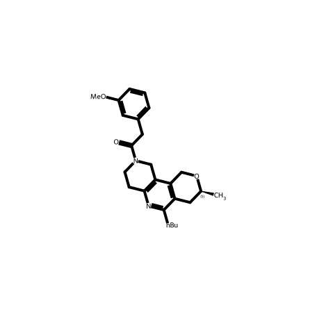 CCCCc1nc2c(c3c1C[C@H](C)OC3)CN(C(=O)Cc1cccc(OC)c1)CC2